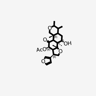 CC(=O)O[C@H]1C(=O)C2[C@]3(C)COC(C)C(C)C3C[C@@H](O)[C@@]2(C)[C@]2(C)OC[C@@H](c3ccoc3)C12